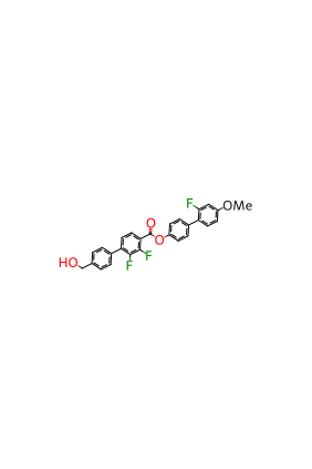 COc1ccc(-c2ccc(OC(=O)c3ccc(-c4ccc(CO)cc4)c(F)c3F)cc2)c(F)c1